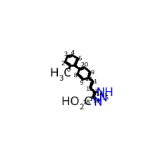 Cc1ccccc1-c1ccc(C=Cc2[nH]nnc2C(=O)O)cc1